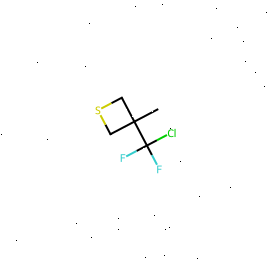 CC1(C(F)(F)Cl)CSC1